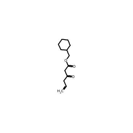 C=CCC(=O)CC(=O)OCC1CCCCC1